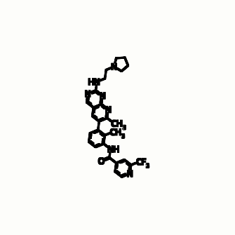 Cc1nc2nc(NCCN3CCCC3)ncc2cc1-c1cccc(NC(=O)c2ccnc(C(F)(F)F)c2)c1C